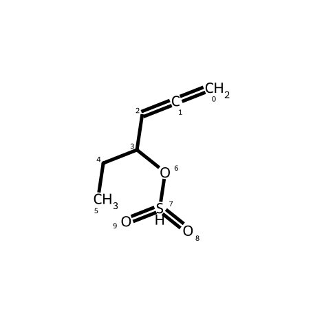 C=C=CC(CC)O[SH](=O)=O